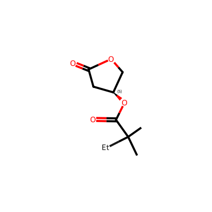 CCC(C)(C)C(=O)O[C@@H]1COC(=O)C1